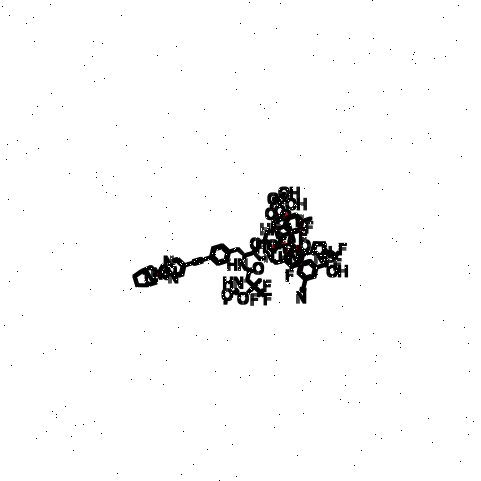 COC(=O)N[C@H](C(=O)N[C@@H](Cc1ccc(C#Cc2cnc(N3CC4CCC(C3)N4C3COC3)nc2)cc1)[C@H](CN(Cc1c(F)cc(-c2ccn(C(F)F)n2)cc1F)NC(=O)[C@@H](NC(=O)OC)C(C)(C)C(F)(F)F)OC(=O)CC(C)(C)c1c(CC(=O)Nc2cc(C#N)cc(C(=O)O)c2)cc(C)cc1OP(=O)(O)O)C(C)(C)C(F)(F)F